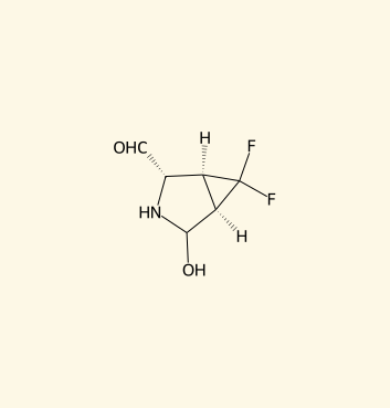 O=C[C@H]1NC(O)[C@H]2[C@@H]1C2(F)F